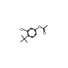 CC(=O)Oc1ccc(C(C)(C)C)c(Cl)c1